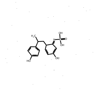 CC(CC1C=CC(O)=C/C1=N\P(=O)(O)O)c1ccc(O)cc1